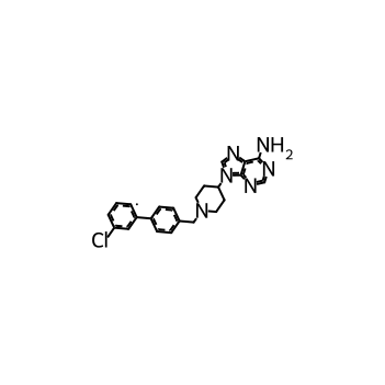 Nc1ncnc2c1ncn2C1CCN(Cc2ccc(-c3[c]ccc(Cl)c3)cc2)CC1